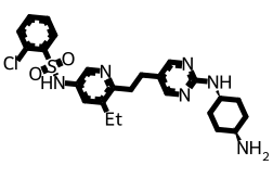 CCc1cc(NS(=O)(=O)c2ccccc2Cl)cnc1CCc1cnc(N[C@H]2CC[C@H](N)CC2)nc1